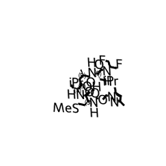 CSCC[C@H](NC(=O)OCn1nc(C)cc1C)C(=O)N[C@@H](CC(C)C)[C@@H](O)C[C@@H](C)C(=O)N[C@@H](CC(C)C)C(=O)NC(CF)CF